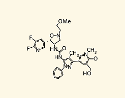 COCCN1C[C@@H](NC(=O)Nc2c(C)c(-c3cc(CO)c(=O)n(C)c3)nn2-c2ccccc2)[C@H](c2cnc(F)c(F)c2)O1